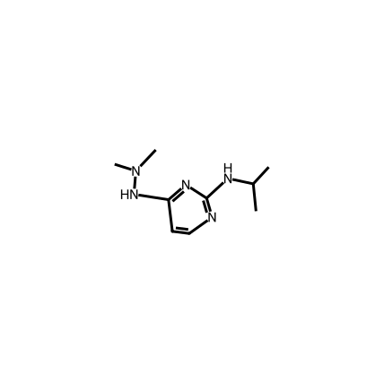 CC(C)Nc1nccc(NN(C)C)n1